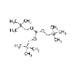 C[Si](C)(C)COP(OC[Si](C)(C)C)OC[Si](C)(C)C